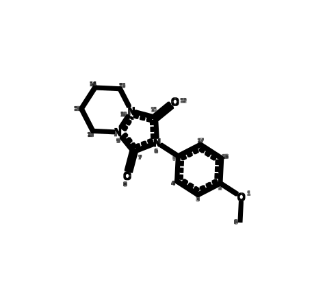 COc1ccc(-n2c(=O)n3n(c2=O)CCCC3)cc1